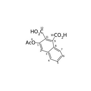 CC(=O)Oc1cc2ccccc2c(C(=O)O)c1C(=O)O